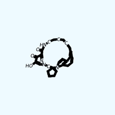 O=C1NCCCCCCC2=Cc3ccn(c3CC=C2)C2(CCCC2)Cn2cc(O)c(=O)c1n2